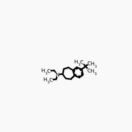 CCN(CC)C1CCc2ccc(C(C)(C)C)cc2CC1